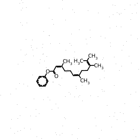 CC(=CC(=O)Oc1ccccc1)CCC=C(C)CCC(C)=C(C)C